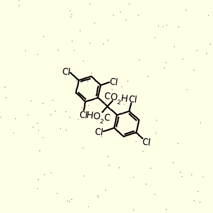 O=C(O)C(C(=O)O)(c1c(Cl)cc(Cl)cc1Cl)c1c(Cl)cc(Cl)cc1Cl